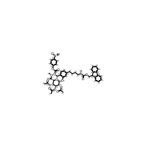 COC(=O)[C@H]1O[C@@H](Oc2cc(CCCCNC(=O)OCC3c4ccccc4-c4ccccc43)ccc2COC(=O)Oc2ccc([N+](=O)[O-])cc2)[C@H](OC(C)=O)[C@@H](OC(C)=O)[C@@H]1OC(C)=O